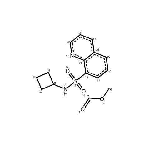 COC=O.O=S(=O)(NC1CCC1)c1cccc2cccnc12